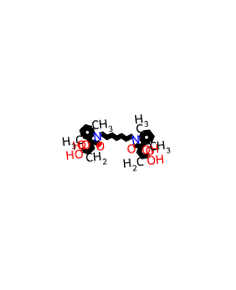 C=C(CC1(O)C(=O)N(CCCCCCCN2C(=O)C(O)(CC(=C)C(=O)O)c3c(C)ccc(C)c32)c2c(C)ccc(C)c21)C(=O)O